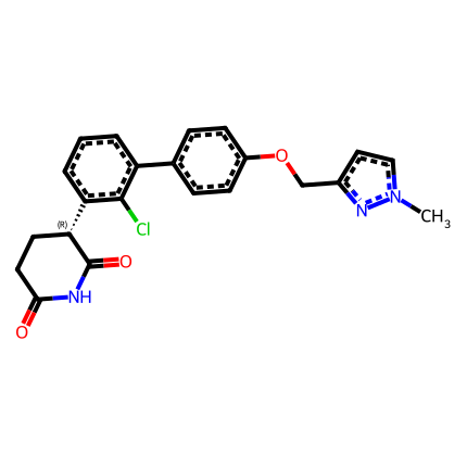 Cn1ccc(COc2ccc(-c3cccc([C@H]4CCC(=O)NC4=O)c3Cl)cc2)n1